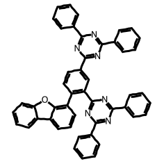 c1ccc(-c2nc(-c3ccccc3)nc(-c3ccc(-c4cccc5c4oc4ccccc45)c(-c4nc(-c5ccccc5)nc(-c5ccccc5)n4)c3)n2)cc1